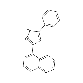 c1ccc(-c2cc(-c3cccc4ccccc34)[o+][te]2)cc1